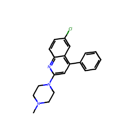 CN1CCN(c2cc(-c3ccccc3)c3cc(Cl)ccc3n2)CC1